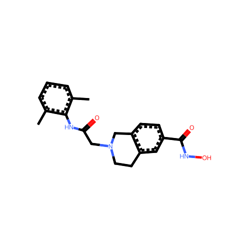 Cc1cccc(C)c1NC(=O)CN1CCc2cc(C(=O)NO)ccc2C1